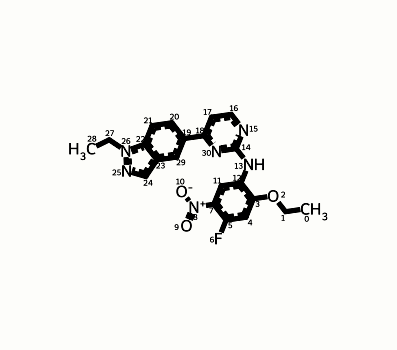 CCOc1cc(F)c([N+](=O)[O-])cc1Nc1nccc(-c2ccc3c(cnn3CC)c2)n1